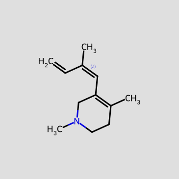 C=C/C(C)=C\C1=C(C)CCN(C)C1